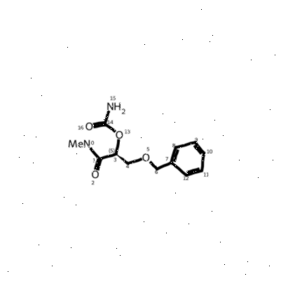 CNC(=O)[C@H](COCc1ccccc1)OC(N)=O